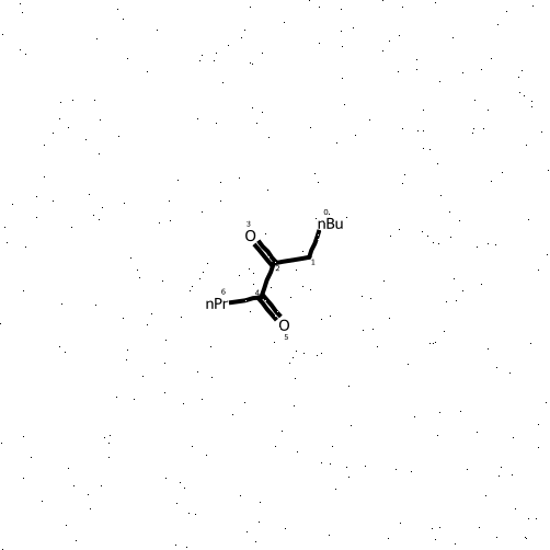 CCCCCC(=O)C(=O)CCC